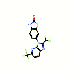 O=c1[nH]c2ccc(-n3c(C(F)F)nc4ccc(C(F)(F)F)nc43)cc2s1